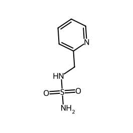 NS(=O)(=O)NCc1ccccn1